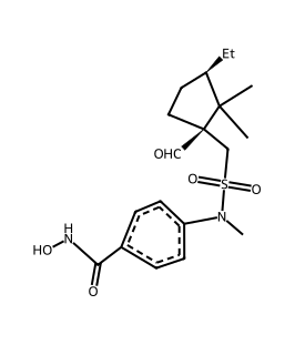 CC[C@@H]1CC[C@@](C=O)(CS(=O)(=O)N(C)c2ccc(C(=O)NO)cc2)C1(C)C